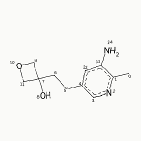 Cc1ncc(CCC2(O)COC2)cc1N